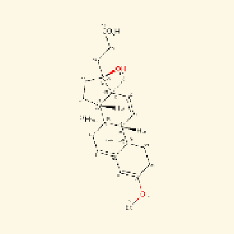 CCOC1=CC2=CC[C@@H]3[C@H](C=C[C@@]4(C)[C@H]3CC[C@]4(O)CCC(=O)O)[C@@]2(C)CC1